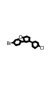 Clc1ccc(-c2ccc3oc4cc(Br)ccc4c3c2)cc1